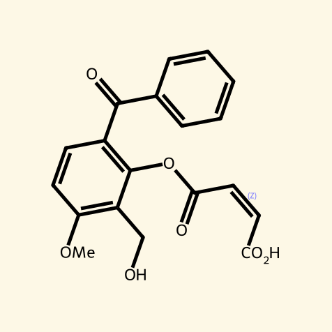 COc1ccc(C(=O)c2ccccc2)c(OC(=O)/C=C\C(=O)O)c1CO